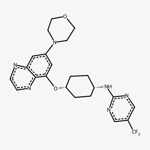 FC(F)(F)c1cnc(N[C@H]2CC[C@@H](Oc3cc(N4CCOCC4)cc4nccnc34)CC2)nc1